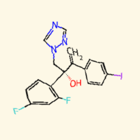 C=C(c1ccc(I)cc1)[C@](O)(Cn1cncn1)c1ccc(F)cc1F